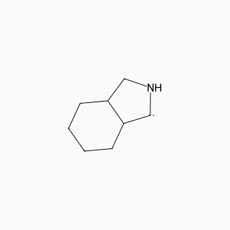 [CH]1NCC2CCCCC12